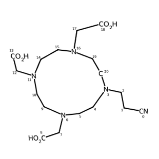 N#CCCN1CCN(CC(=O)O)CCN(CC(=O)O)CCN(CC(=O)O)CC1